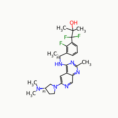 Cc1nc(N[C@H](C)c2cccc(C(F)(F)C(C)(C)O)c2F)c2cc(N3CC[C@@H](N(C)C)C3)ncc2n1